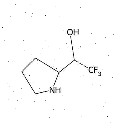 OC(C1CCCN1)C(F)(F)F